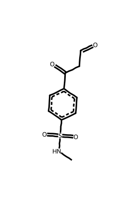 CNS(=O)(=O)c1ccc(C(=O)CC=O)cc1